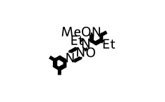 CCc1cc(N(CC)C(=O)N2CCN(c3cc(C)cc(C)c3)CC2)c(OC)nc1C